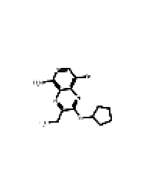 CCc1nc2c(N)ncc(Br)c2nc1NC1CCCC1